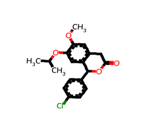 COc1cc2c(cc1OC(C)C)C(c1ccc(Cl)cc1)OC(=O)C2